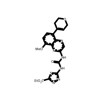 CCOC(=O)c1nnc(NC(=O)Nc2cnc3c(C4=CCOCC4)ccc(OC)c3n2)s1